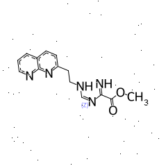 COC(=O)C(=N)/N=C\NCCc1ccc2cccnc2n1